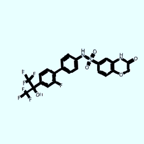 O=C1COc2ccc(S(=O)(=O)Nc3ccc(-c4ccc(C(O)(C(F)(F)F)C(F)(F)F)cc4F)cc3)cc2N1